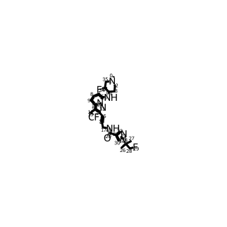 CN1CC[C@@H](Nc2cccc3c(CC(F)(F)F)c(C#CCNC(=O)c4cnn(C(C)(C)CF)c4)nn23)[C@@H](F)C1